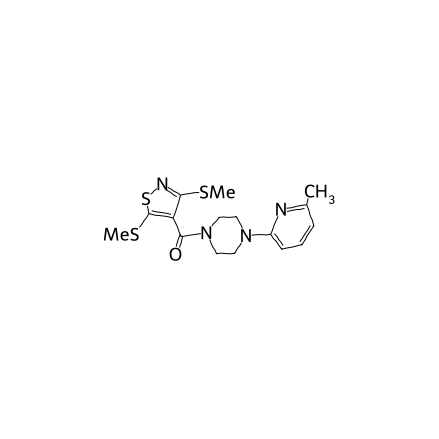 CSc1nsc(SC)c1C(=O)N1CCN(c2cccc(C)n2)CC1